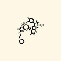 Cc1cc2cc([C@@H](c3ccc(C)c(CN4CC5(CC5)Oc5nc(OCCN6CCCCC6)c(C)cc5S4(=O)=O)c3)C(C)(C)C(=O)O)n(C)c2nn1